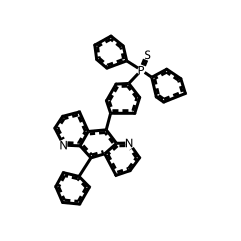 S=P(c1ccccc1)(c1ccccc1)c1ccc(-c2c3cccnc3c(-c3ccccc3)c3cccnc23)cc1